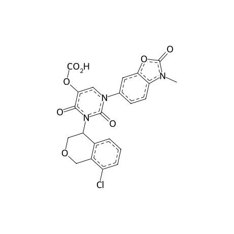 Cn1c(=O)oc2cc(-n3cc(OC(=O)O)c(=O)n(C4COCc5c(Cl)cccc54)c3=O)ccc21